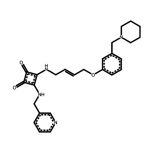 O=c1c(NCC=CCOc2cccc(CN3CCCCC3)c2)c(NCc2cccnc2)c1=O